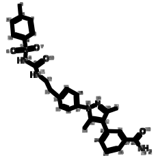 Cc1ccc(S(=O)(=O)NC(=O)NCCc2ccc(-n3nc(C)c(-c4cccc(C(N)=O)c4)c3C)cc2)cc1